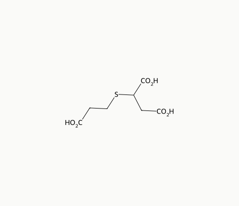 O=C(O)CCSC(CC(=O)O)C(=O)O